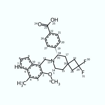 COc1cc(C)c2[nH]ccc2c1CN1CCC2(C[C@H]1c1ccc(C(=O)O)cc1)CC(F)(F)C2